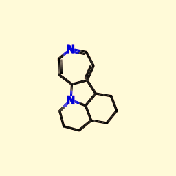 C1=CC2C(=CC=N1)C1CCCC3CCCN2C31